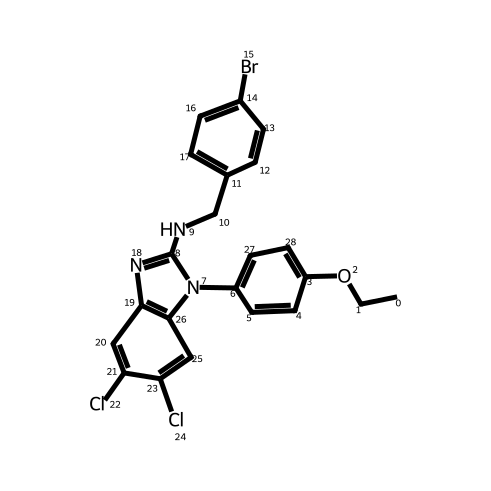 CCOc1ccc(-n2c(NCc3ccc(Br)cc3)nc3cc(Cl)c(Cl)cc32)cc1